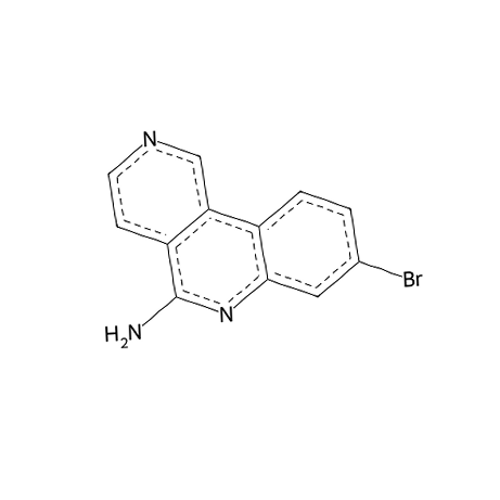 Nc1nc2cc(Br)ccc2c2cnccc12